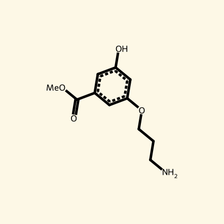 COC(=O)c1cc(O)cc(OCCCN)c1